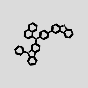 c1ccc(-n2c3ccccc3c3ccc(N(c4ccc(-c5ccc6sc7ccccc7c6c5)cc4)c4cccc5ccccc45)cc32)cc1